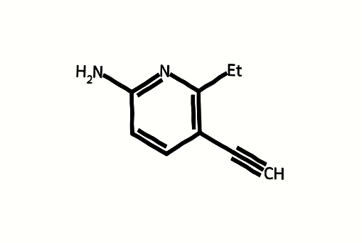 C#Cc1ccc(N)nc1CC